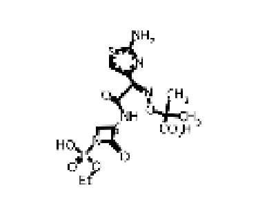 CCOP(=O)(O)N1C[C@H](NC(=O)C(=NOC(C)(C)C(=O)O)c2csc(N)n2)C1=O